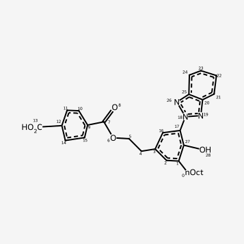 CCCCCCCCc1cc(CCOC(=O)c2ccc(C(=O)O)cc2)cc(-n2nc3ccccc3n2)c1O